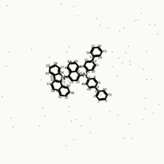 c1ccc(-c2ccc(N(c3ccc(-c4ccccc4)cc3)c3ccc(-n4c5ccccc5c5ccc6ccccc6c54)c4ccccc34)cc2)cc1